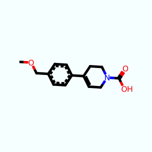 COCc1ccc(C2=CCN(C(=O)O)CC2)cc1